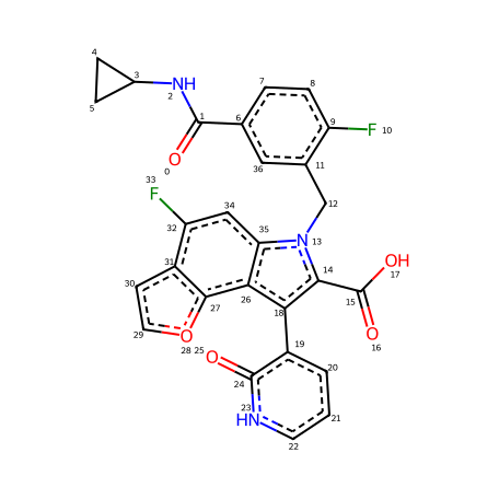 O=C(NC1CC1)c1ccc(F)c(Cn2c(C(=O)O)c(-c3ccc[nH]c3=O)c3c4occc4c(F)cc32)c1